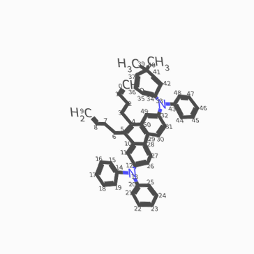 C=CCCc1c(CCC=C)c2cc(N(c3ccccc3)c3ccccc3)ccc2c2ccc(N(C3=CC=CC(C)(C)C=C3)c3ccccc3)cc12